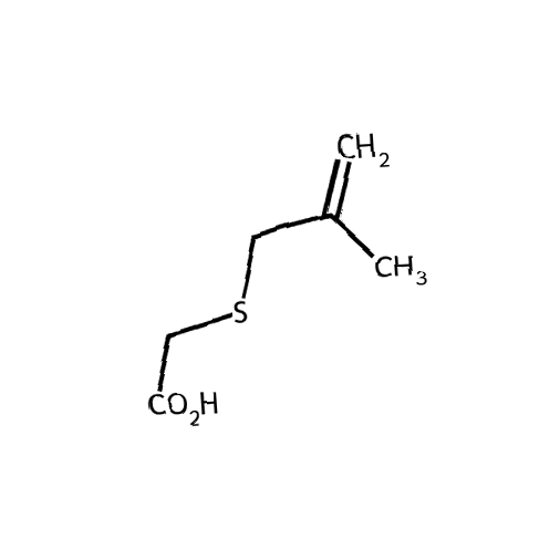 C=C(C)CSCC(=O)O